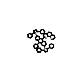 C1=CC(c2ccc(-c3ccccc3)n2-c2ccc3c(-c4ccc5ccc6cccnc6c5n4)c4cc(-n5c(-c6ccccc6)ccc5-c5ccccc5)ccc4c(-c4ccccc4)c3c2)=CCC1